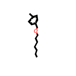 CCCCCCCOCc1ccc(C)cc1